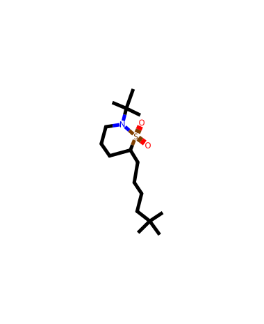 CC(C)(C)CCCCC1CCCN(C(C)(C)C)S1(=O)=O